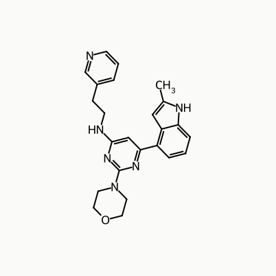 Cc1cc2c(-c3cc(NCCc4cccnc4)nc(N4CCOCC4)n3)cccc2[nH]1